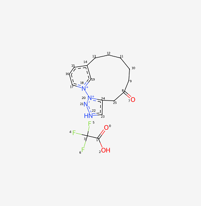 O=C(O)C(F)(F)F.O=C1CCCCCc2ccc[n+](c2)-[n+]2n[nH]cc2C1